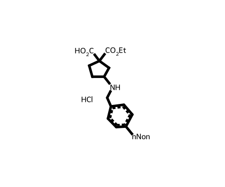 CCCCCCCCCc1ccc(CNC2CCC(C(=O)O)(C(=O)OCC)C2)cc1.Cl